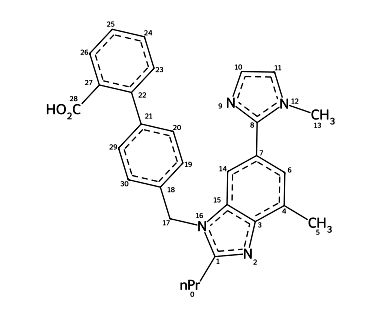 CCCc1nc2c(C)cc(-c3nccn3C)cc2n1Cc1ccc(-c2ccccc2C(=O)O)cc1